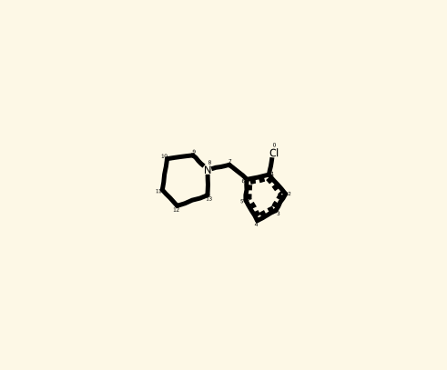 Clc1ccccc1[CH]N1CCCCC1